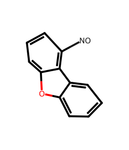 O=Nc1cccc2oc3ccccc3c12